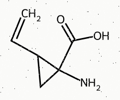 C=CC1CC1(N)C(=O)O